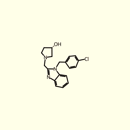 O[C@H]1CCN(Cc2nc3ccccc3n2Cc2ccc(Cl)cc2)C1